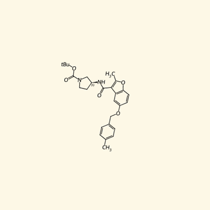 Cc1ccc(COc2ccc3oc(C)c(C(=O)N[C@H]4CCN(C(=O)OC(C)(C)C)C4)c3c2)cc1